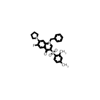 Cc1ccc(S(=O)(=O)c2cn(Cc3ccccc3)c3cc(N4CCCC4)c(F)cc3c2=O)c(C)c1